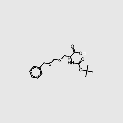 CC(C)(C)OC(=O)N[C@@H](CSCSCc1ccccc1)C(=O)O